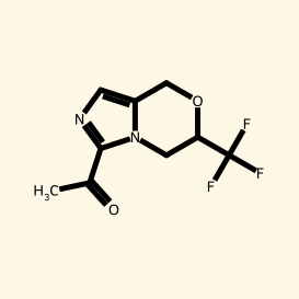 CC(=O)c1ncc2n1CC(C(F)(F)F)OC2